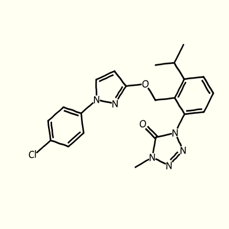 CC(C)c1cccc(-n2nnn(C)c2=O)c1COc1ccn(-c2ccc(Cl)cc2)n1